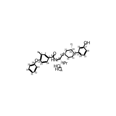 Cc1cc(C(=O)N[C@H](CN2CCN(c3cccc(O)c3)[C@@H](C)C2)C(C)C)ccc1Oc1ccccc1.Cl.Cl